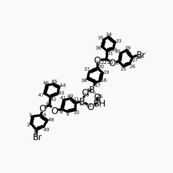 Brc1ccc(OC(Oc2ccc(B3OBOB(c4ccc(OC(Oc5ccc(Br)cc5)c5ccccc5)cc4)O3)cc2)c2ccccc2)cc1